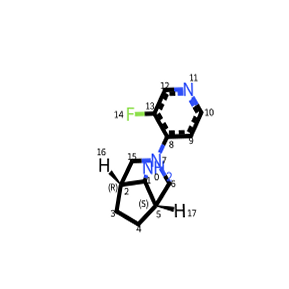 NC1[C@@H]2CC[C@H]1CN(c1ccncc1F)C2